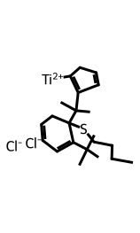 CCCCSC1(C(C)(C)C2=[C]([Ti+2])CC=C2)CC=CC=C1C(C)(C)C.[Cl-].[Cl-]